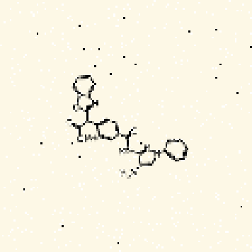 COC(=O)C(c1ccc(C(=O)Nc2nn(-c3ccccc3)cc2N)cc1)c1nc2ccccc2o1